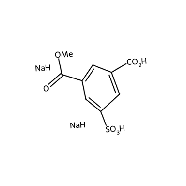 COC(=O)c1cc(C(=O)O)cc(S(=O)(=O)O)c1.[NaH].[NaH]